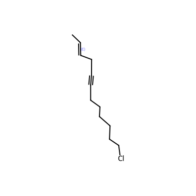 C/C=C/CC#CCCCCCCCl